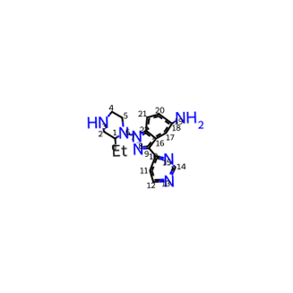 CCC1CNCCN1n1nc(-c2ccncn2)c2cc(N)ccc21